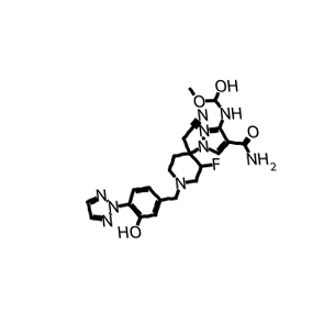 COC(O)Nc1nn(C2(CC#N)CCN(Cc3ccc(-n4nccn4)c(O)c3)CC2F)cc1C(N)=O